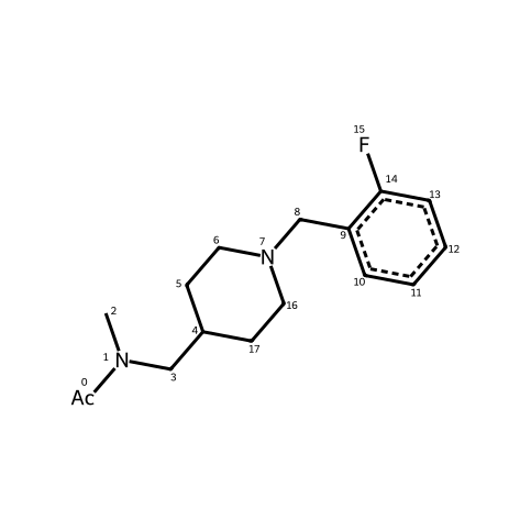 CC(=O)N(C)CC1CCN(Cc2ccccc2F)CC1